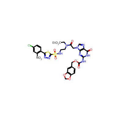 CCOC(=O)CN(CCNS(=O)(=O)c1nnc(-c2ccc(Cl)cc2[N+](=O)[O-])s1)C(=O)Cn1cnc2c(=O)[nH]c(NC(=O)OCc3ccc4c(c3)OCO4)nc21